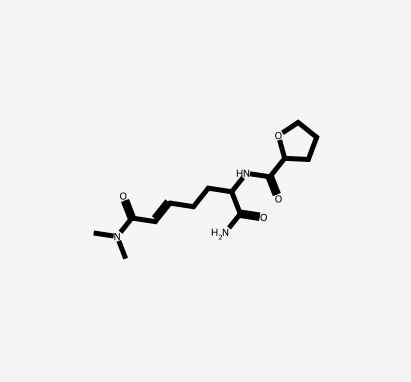 CN(C)C(=O)C=CCCC(NC(=O)C1CCCO1)C(N)=O